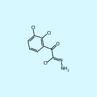 NN=C(Cl)C(=O)c1[c]ccc(Cl)c1Cl